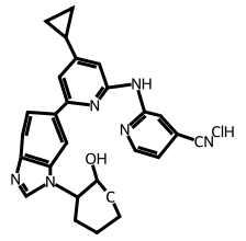 Cl.N#Cc1ccnc(Nc2cc(C3CC3)cc(-c3ccc4ncn(C5CCCCC5O)c4c3)n2)c1